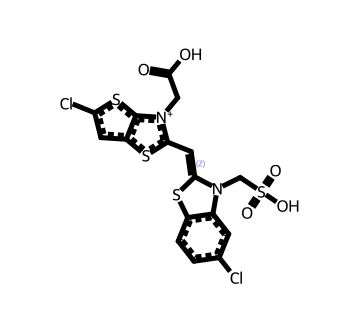 O=C(O)C[n+]1c(/C=C2\Sc3ccc(Cl)cc3N2CS(=O)(=O)O)sc2cc(Cl)sc21